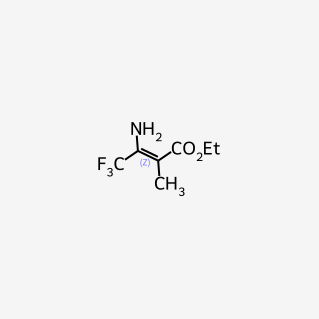 CCOC(=O)/C(C)=C(\N)C(F)(F)F